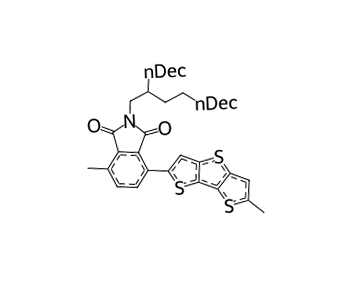 CCCCCCCCCCCCC(CCCCCCCCCC)CN1C(=O)c2c(C)ccc(-c3cc4sc5cc(C)sc5c4s3)c2C1=O